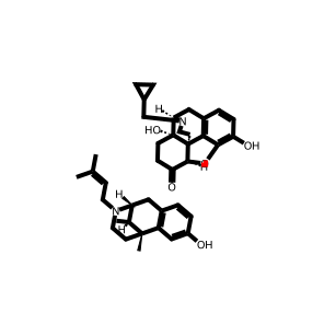 CC(C)=CCN1CC[C@@]2(C)c3cc(O)ccc3C[C@@H]1[C@@H]2C.O=C1CC[C@@]2(O)[C@H]3Cc4ccc(O)c5c4[C@@]2(CCN3CC2CC2)[C@H]1O5